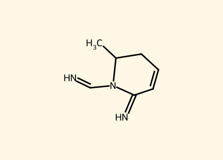 CC1CC=CC(=N)N1C=N